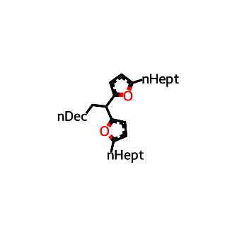 CCCCCCCCCCCC(c1ccc(CCCCCCC)o1)c1ccc(CCCCCCC)o1